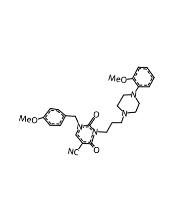 COc1ccc(Cn2cc(C#N)c(=O)n(CCCN3CCN(c4ccccc4OC)CC3)c2=O)cc1